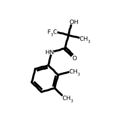 Cc1cccc(NC(=O)C(C)(O)C(F)(F)F)c1C